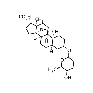 C[C@H]1O[C@@H](O[C@H]2CC[C@@]3(C)[C@H](CC[C@@H]4[C@@H]3CC[C@]3(C)[C@@H](C(=O)O)CC[C@]43N)C2)CC[C@@H]1O